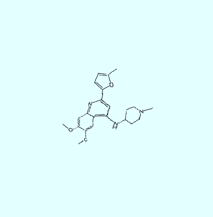 COc1cc2nc(-c3ccc(C)o3)cc(NC3CCN(C)CC3)c2cc1OC